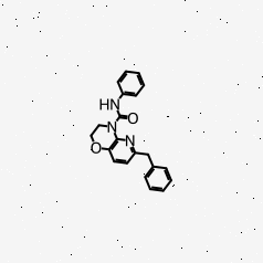 O=C(Nc1ccccc1)N1CCOc2ccc(Cc3ccccc3)nc21